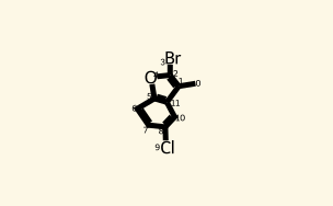 Cc1c(Br)oc2ccc(Cl)cc12